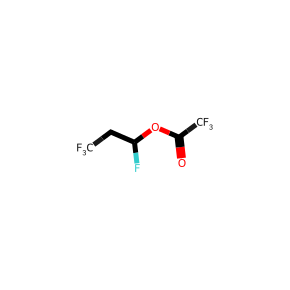 O=C(OC(F)CC(F)(F)F)C(F)(F)F